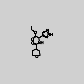 CCOC(=O)C(NC(=O)C1CCOCC1)c1cn[nH]c1